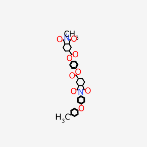 Cc1ccc(Oc2ccc(N3C(=O)C4CCC(C(=O)Oc5ccc(OC(=O)C6CCC7C(=O)N(C)C(=O)C7C6)cc5)CC4C3=O)cc2)cc1